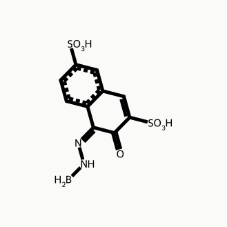 BN/N=C1\C(=O)C(S(=O)(=O)O)=Cc2cc(S(=O)(=O)O)ccc21